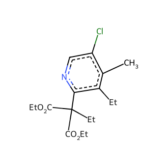 CCOC(=O)C(CC)(C(=O)OCC)c1ncc(Cl)c(C)c1CC